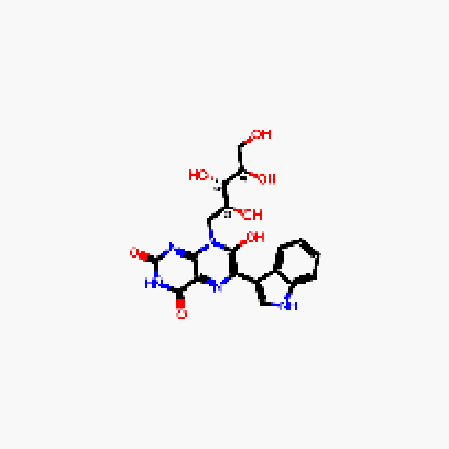 O=c1nc2n(C[C@H](O)[C@H](O)[C@H](O)CO)c(O)c(-c3c[nH]c4ccccc34)nc-2c(=O)[nH]1